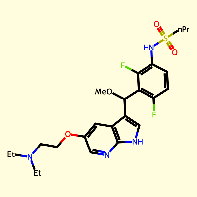 CCCS(=O)(=O)Nc1ccc(F)c(C(OC)c2c[nH]c3ncc(OCCN(CC)CC)cc23)c1F